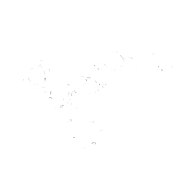 C=C(c1cc2cnc(Nc3ccc(OC4CCCN(C)C4)cc3)nc2n(C2CCc3ccccc3C2=O)c1=O)C1CCOCC1